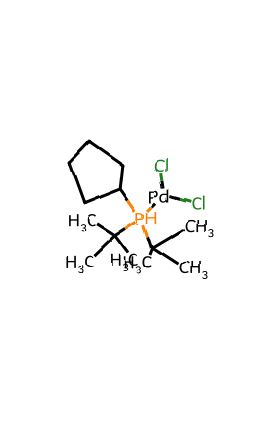 CC(C)(C)[PH](C1CCCC1)([Pd]([Cl])[Cl])C(C)(C)C